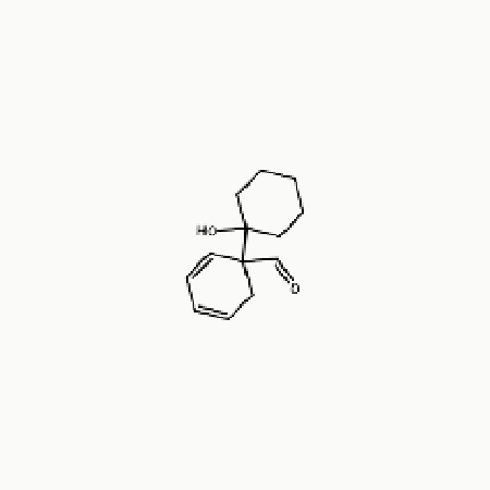 O=CC1(C2(O)CCCCC2)C=CC=CC1